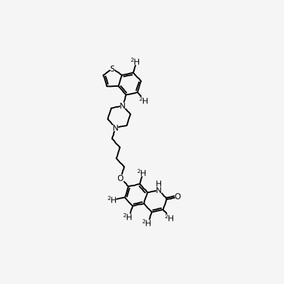 [2H]c1cc([2H])c2sccc2c1N1CCN(CCCCOc2c([2H])c([2H])c3c([2H])c([2H])c(=O)[nH]c3c2[2H])CC1